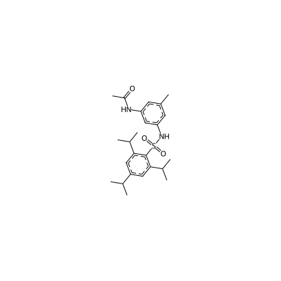 CC(=O)Nc1cc(C)cc(NS(=O)(=O)c2c(C(C)C)cc(C(C)C)cc2C(C)C)c1